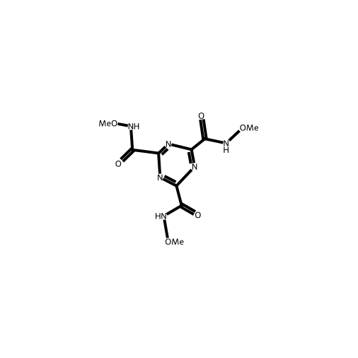 CONC(=O)c1nc(C(=O)NOC)nc(C(=O)NOC)n1